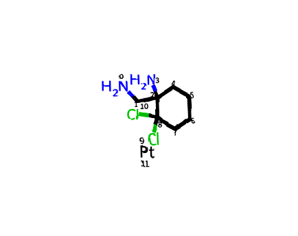 NCC1(N)CCCCC1(Cl)Cl.[Pt]